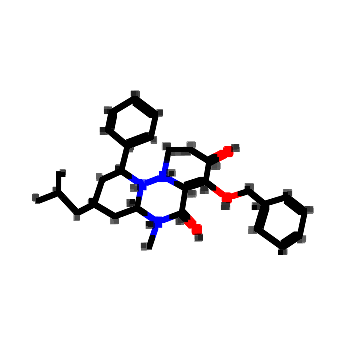 CC(C)CC1CC(c2ccccc2)N2C(C1)N(C)C(=O)c1c(OCc3ccccc3)c(=O)ccn12